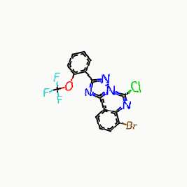 FC(F)(F)Oc1ccccc1-c1nc2c3cccc(Br)c3nc(Cl)n2n1